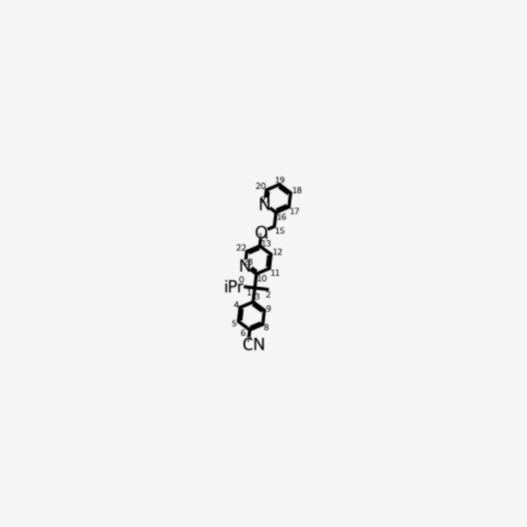 CC(C)C(C)(c1ccc(C#N)cc1)c1ccc(OCc2ccccn2)cn1